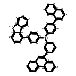 c1cc(-c2cc3ccccc3c3ccccc23)cc(N(c2ccc(-c3cccc4ccccc34)cc2)c2ccc(-c3cccc4sc5ccccc5c34)cc2)c1